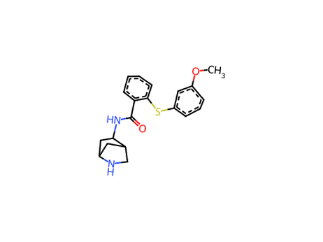 COc1cccc(Sc2ccccc2C(=O)NC2CC3CC2CN3)c1